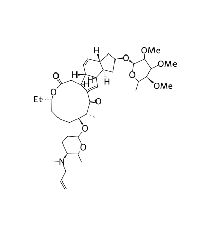 C=CCN(C)[C@H]1CCC(O[C@H]2CCC[C@H](CC)OC(=O)C[C@@H]3C(=C[C@@H]4[C@H]3C=C[C@@H]3C[C@@H](O[C@@H]5OC(C)[C@H](OC)C(OC)C5OC)C[C@@H]43)C(=O)[C@@H]2C)OC1C